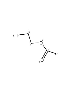 [CH2]C(=O)OCCI